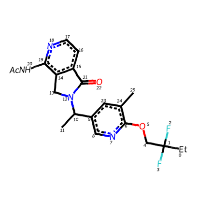 CCC(F)(F)COc1ncc(C(C)N2Cc3c(ccnc3NC(C)=O)C2=O)cc1C